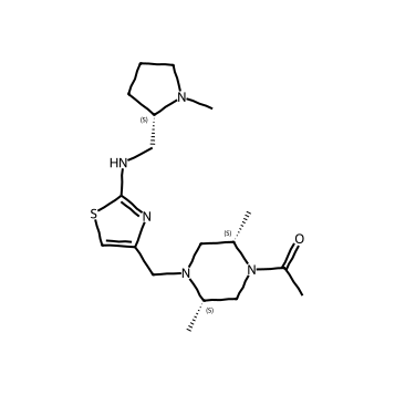 CC(=O)N1C[C@H](C)N(Cc2csc(NC[C@@H]3CCCN3C)n2)C[C@@H]1C